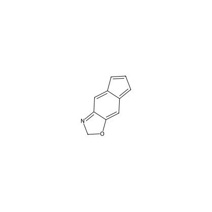 C1=Cc2cc3c(cc2=C1)OCN=3